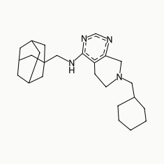 c1nc2c(c(NCC34CC5CC(CC(C5)C3)C4)n1)CCN(CC1CCCCC1)C2